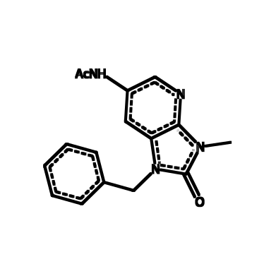 CC(=O)Nc1cnc2c(c1)n(Cc1ccccc1)c(=O)n2C